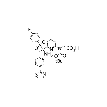 CC(C)(C)OC(=O)N(CC(=O)O)c1cccc(C(N)(Cc2ccc(C3=NCCS3)cc2)S(=O)(=O)c2ccc(F)cc2)n1